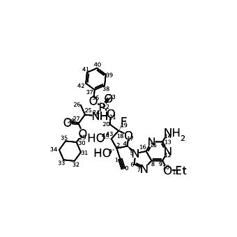 C#C[C@]1(O)[C@H](n2cnc3c(OCC)nc(N)nc32)O[C@](F)(CO[P@@](=O)(NC(C)C(=O)OC2CCCCC2)Oc2ccccc2)[C@H]1O